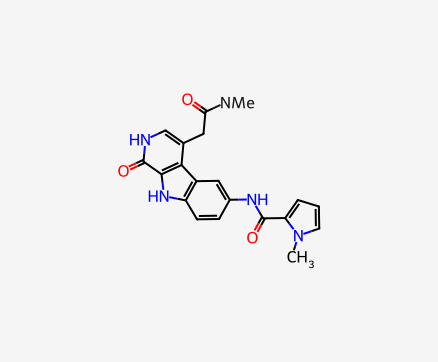 CNC(=O)Cc1c[nH]c(=O)c2[nH]c3ccc(NC(=O)c4cccn4C)cc3c12